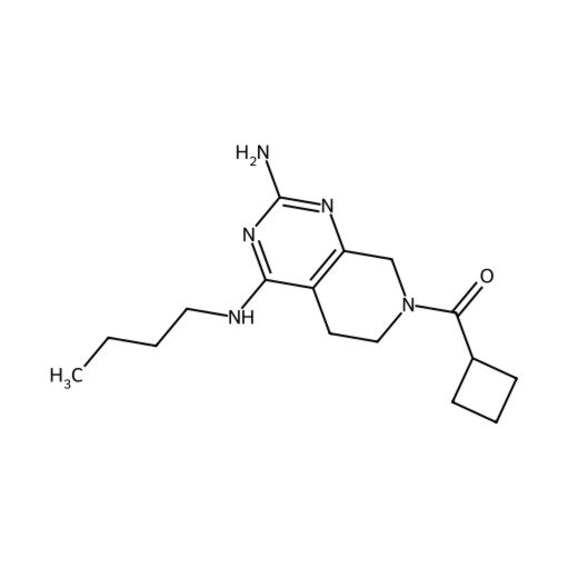 CCCCNc1nc(N)nc2c1CCN(C(=O)C1CCC1)C2